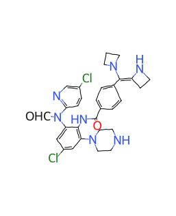 O=CN(c1ccc(Cl)cn1)c1cc(Cl)cc(N2CCNCC2)c1NC(=O)c1ccc(C(=C2CCN2)N2CCC2)cc1